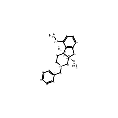 COc1cccc2c1[C@@H]1CCN(Cc3ccccc3)C[C@@H]1C2.Cl